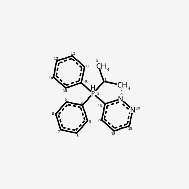 CC(C)[PH](c1ccccc1)(c1ccccc1)c1cccnn1